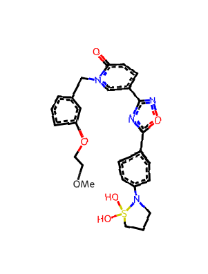 COCCOc1cccc(Cn2cc(-c3noc(-c4ccc(N5CCCS5(O)O)cc4)n3)ccc2=O)c1